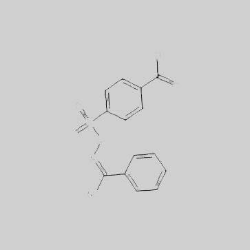 N#CC(=NOS(=O)(=O)c1ccc(C(=O)Cl)cc1)c1ccccc1